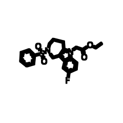 CCOC(=O)Cn1c2c(c3cc(F)ccc31)CN(S(=O)(=O)c1ccccc1)CCC2